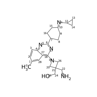 Cc1ccc2nc(C3CCC(=NC4CC4)CC3)nc(N3CC(CN)(CO)C3)c2c1